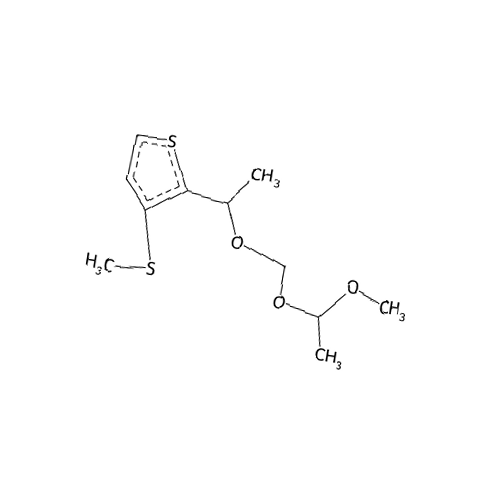 COC(C)OCOC(C)c1sccc1SC